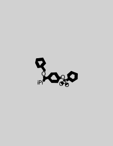 CC(C)C(OCc1ccccc1)c1ccc(OS(=O)(=O)c2ccccc2)cc1